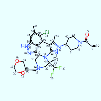 C=CC(=O)N1CCC(n2nc(N3CCN(C[C@@H]4COCCO4)C[C@@]3(CC)C(F)F)c(-c3c(Cl)c(C)cc4[nH]ncc34)c2C)CC1